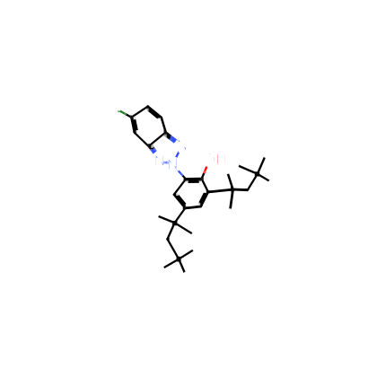 CC(C)(C)CC(C)(C)c1cc(-n2nc3ccc(Cl)cc3n2)c(O)c(C(C)(C)CC(C)(C)C)c1